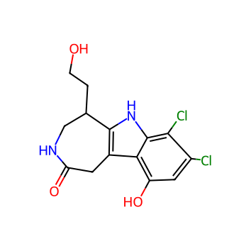 O=C1Cc2c([nH]c3c(Cl)c(Cl)cc(O)c23)C(CCO)CN1